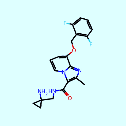 Cc1nc2c(OCc3c(F)cccc3F)cccn2c1C(=O)NCC1(N)CC1